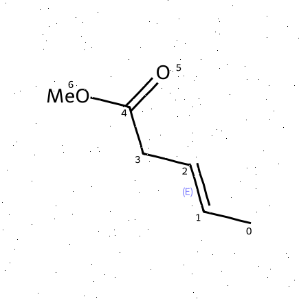 C/C=C/CC(=O)OC